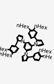 CCCCCCc1ccc(-c2cccn2-c2cc(-n3cccc3-c3ccc(CCCCCC)c(CCCCCC)c3)cc(-n3cccc3-c3ccc(CCCCCC)c(CCCCCC)c3)c2)cc1CCCCCC